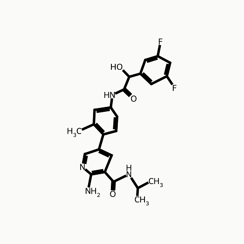 Cc1cc(NC(=O)C(O)c2cc(F)cc(F)c2)ccc1-c1cnc(N)c(C(=O)NC(C)C)c1